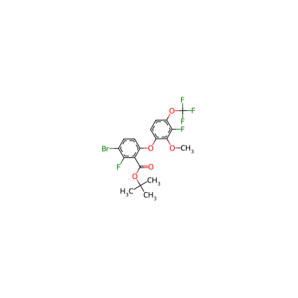 COc1c(Oc2ccc(Br)c(F)c2C(=O)OC(C)(C)C)ccc(OC(F)(F)F)c1F